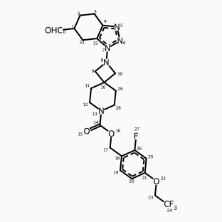 O=CC1CCc2nnn(N3CC4(CCN(C(=O)OCc5ccc(OCC(F)(F)F)cc5F)CC4)C3)c2C1